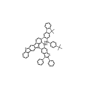 CC(C)(C)c1ccc(Nc2cc3c(cc2-c2ccc4c5cc6sc7ccccc7c6cc5n5c4c2Bc2cc4sc(-c6ccccc6)c(-c6ccccc6)c4cc2-5)-c2ccccc2C3(C)C)cc1